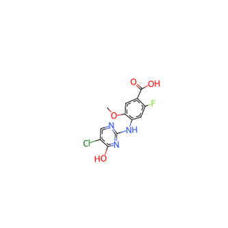 COc1cc(C(=O)O)c(F)cc1Nc1ncc(Cl)c(O)n1